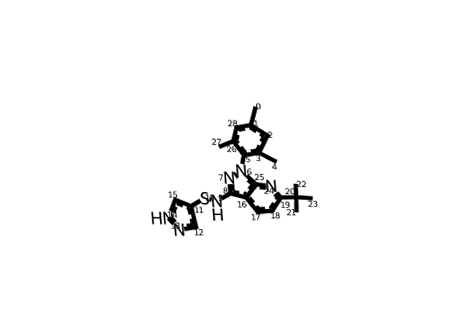 Cc1cc(C)c(-n2nc(NSc3cn[nH]c3)c3ccc(C(C)(C)C)nc32)c(C)c1